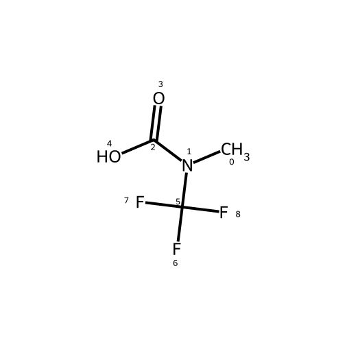 CN(C(=O)O)C(F)(F)F